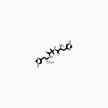 CC(C)(NC(=O)[C@@H](N)Cc1c[nH]cn1)C(=O)N[C@@H](Cc1c[nH]cn1)C(=O)O